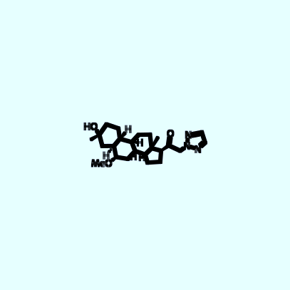 CO[C@@H]1C[C@@H]2[C@H](CC[C@]3(C)[C@@H](C(=O)Cn4nccn4)CC[C@@H]23)[C@H]2CC[C@@](C)(O)C[C@@H]21